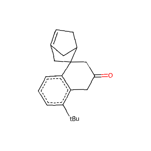 CC(C)(C)c1cccc2c1CC(=O)CC21CC2=CCC1C2